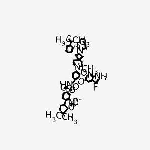 COc1nc2[nH]cc(F)c2cc1Oc1cc(N2CCC3(CC2)CC(N2CCOC[C@H]2c2ccccc2C(C)C)C3)ccc1C(=O)NS(=O)(=O)c1ccc(C2CCC(C)(C)CC2)c([N+](=O)[O-])c1